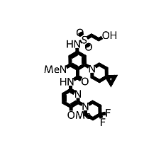 CNc1cc(NS(=O)(=O)CCO)cc(N2CCC3(CC2)CC3)c1C(=O)Nc1ccc(OC)c(N2CCC(F)(F)CC2)n1